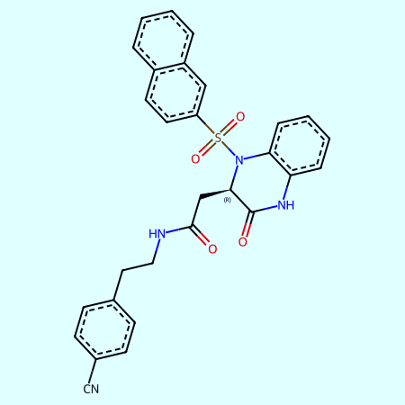 N#Cc1ccc(CCNC(=O)C[C@@H]2C(=O)Nc3ccccc3N2S(=O)(=O)c2ccc3ccccc3c2)cc1